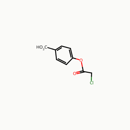 O=C(CCl)Oc1ccc(C(=O)O)cc1